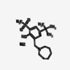 CC(C)(C)c1cc(CN2CCCCCC2)c(O)c(S(C)(=O)=O)c1.Cl